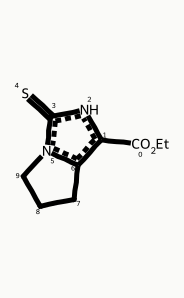 CCOC(=O)c1[nH]c(=S)n2c1CCC2